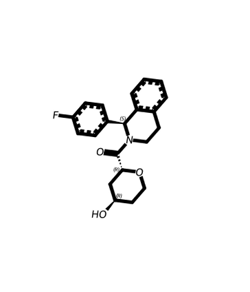 O=C([C@H]1C[C@H](O)CCO1)N1CCc2ccccc2[C@@H]1c1ccc(F)cc1